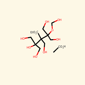 CC(=O)O.CCOC(=O)C(CO)(C(O)(CO)CO)C(CO)(CO)OCO